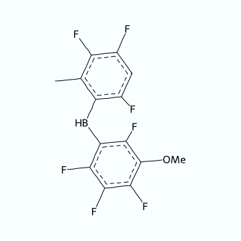 COc1c(F)c(F)c(F)c(Bc2c(F)cc(F)c(F)c2C)c1F